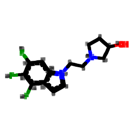 OC1CCN(CCn2ccc3c(F)c(F)c(F)cc32)C1